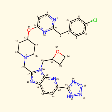 Clc1ccc(Cc2nccc(OC3CCN(Cc4nc5ccc(-c6nnn[nH]6)nc5n4CC4CCO4)CC3)n2)cc1